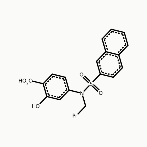 CC(C)CN(c1ccc(C(=O)O)c(O)c1)S(=O)(=O)c1ccc2ccccc2c1